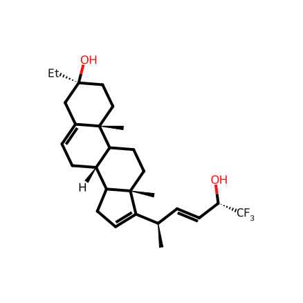 CC[C@]1(O)CC[C@@]2(C)C(=CC[C@@H]3C2CC[C@]2(C)C([C@H](C)/C=C/[C@H](O)C(F)(F)F)=CCC32)C1